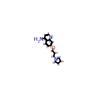 Nc1ccnc2cc(OCCCN3CCCC3)ccc12